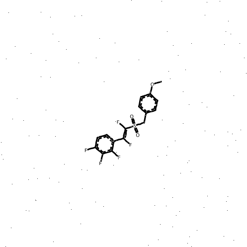 COc1ccc(CS(=O)(=O)/C(F)=C(\F)c2ccc(F)c(F)c2F)cc1